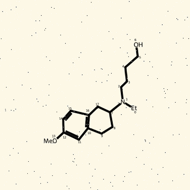 CCN(CCCCO)C1CCc2cc(OC)ccc2C1